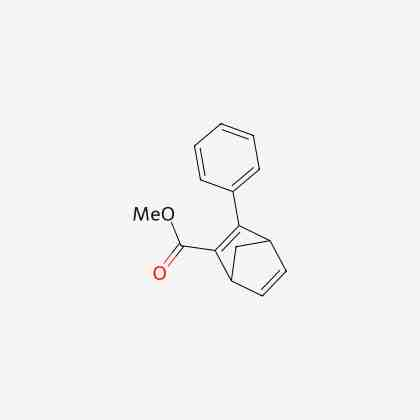 COC(=O)C1=C(c2ccccc2)C2C=CC1C2